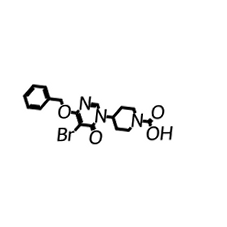 O=C(O)N1CCC(n2cnc(OCc3ccccc3)c(Br)c2=O)CC1